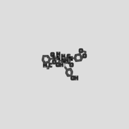 Cc1ccccc1S(=O)(=O)NC(O)N[C@@H](Cc1ccc(O)cc1)C(=O)N(C)c1ccc2c(c1)OCO2